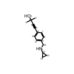 CC(C)(O)C#Cc1ccc(CNC2CC2)cc1